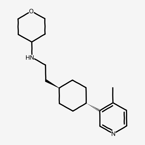 Cc1ccncc1[C@H]1CC[C@H](CCNC2CCOCC2)CC1